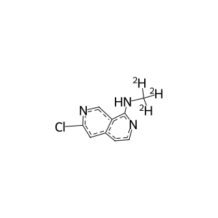 [2H]C([2H])([2H])Nc1nccc2cc(Cl)ncc12